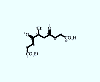 CCOC(=O)CCC(=O)C(CC)CC(=O)CCC(=O)O